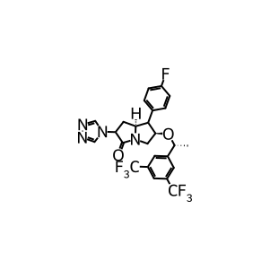 C[C@@H](O[C@H]1CN2C(=O)C(n3cnnc3)C[C@H]2C1c1ccc(F)cc1)c1cc(C(F)(F)F)cc(C(F)(F)F)c1